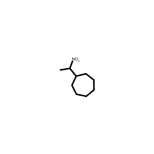 CC(C1CCCCCC1)[N+](=O)[O-]